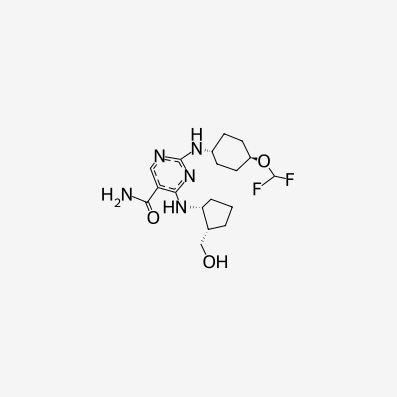 NC(=O)c1cnc(N[C@H]2CC[C@H](OC(F)F)CC2)nc1N[C@@H]1CCC[C@@H]1CO